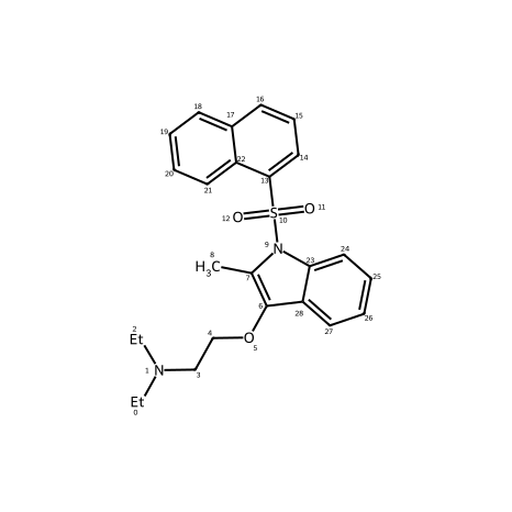 CCN(CC)CCOc1c(C)n(S(=O)(=O)c2cccc3ccccc23)c2ccccc12